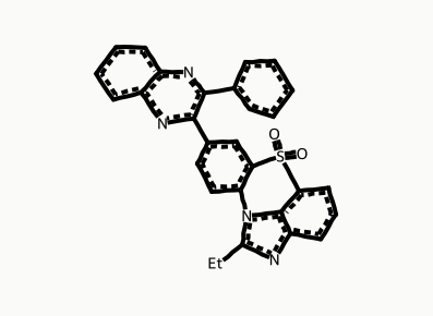 CCc1nc2cccc3c2n1-c1ccc(-c2nc4ccccc4nc2-c2ccccc2)cc1S3(=O)=O